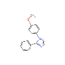 COc1ccc(-n2ccnc2-c2ccccc2)cc1